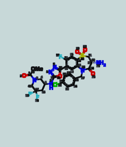 COC(=O)N1CC(Nc2nnc(-c3cc4c(cc3F)S(=O)(=O)C[C@H](N)C(=O)N4Cc3ccc(Cl)cc3)o2)CC(F)(F)C1